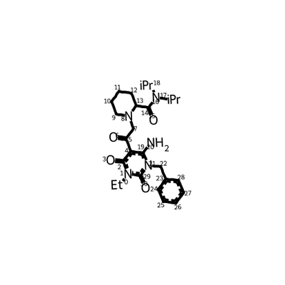 CCn1c(=O)c(C(=O)CN2CCCCC2C(=O)N(C(C)C)C(C)C)c(N)n(Cc2ccccc2)c1=O